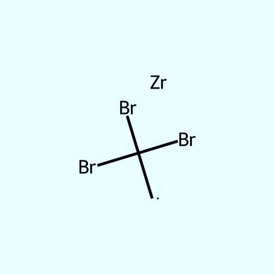 [CH2]C(Br)(Br)Br.[Zr]